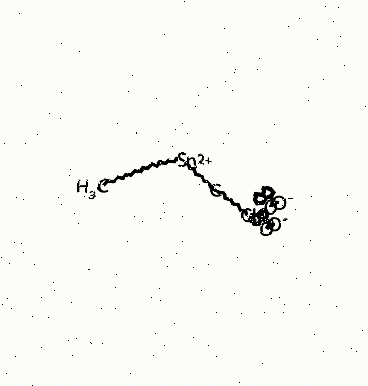 CCCCCCCCCCCCCCCCC[CH2][Sn+2][CH2]CCCCCCCCCCCCCCCCC.O=C([O-])c1cccc2ccccc12.O=C([O-])c1cccc2ccccc12